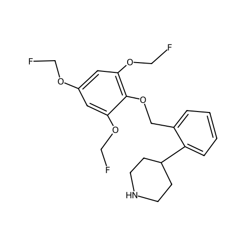 FCOc1cc(OCF)c(OCc2ccccc2C2CCNCC2)c(OCF)c1